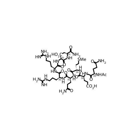 CSCC[C@H](NC(=O)[C@H](CCC(=O)O)NC(=O)[C@H](CCC(N)=O)NC(C)=O)C(=O)N[C@@H](CCC(N)=O)C(=O)N[C@@H](CCCNC(=N)N)C(=O)N[C@@H](CCCNC(=N)N)C(=O)N[C@@H](C)C(=O)N[C@@H](CC(=O)O)C(N)=O